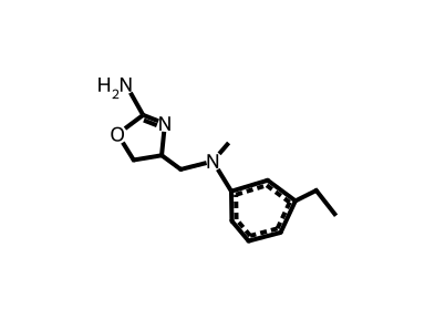 CCc1cccc(N(C)CC2COC(N)=N2)c1